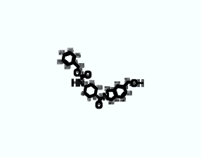 O=C(N[C@H]1CC[C@H](C(=O)N2Cc3ccc(CO)cc3C2)CC1)OCc1ccccc1